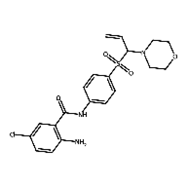 C=CC(N1CCOCC1)S(=O)(=O)c1ccc(NC(=O)c2cc(Cl)ccc2N)cc1